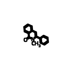 Cn1c(-c2ccccc2)cc2ccccc2c1=O